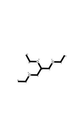 CCO[CH]C(COCC)OCC